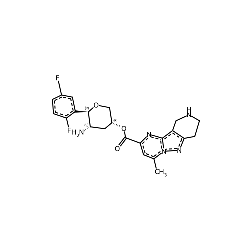 Cc1cc(C(=O)O[C@H]2CO[C@H](c3cc(F)ccc3F)[C@@H](N)C2)nc2c3c(nn12)CCNC3